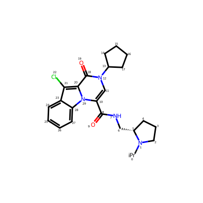 CC(C)N1CCC[C@H]1CNC(=O)c1cn(C2CCCC2)c(=O)c2c(Cl)c3ccccc3n12